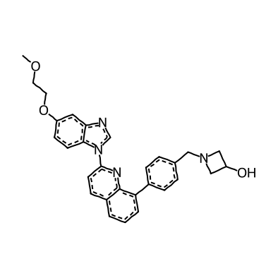 COCCOc1ccc2c(c1)ncn2-c1ccc2cccc(-c3ccc(CN4CC(O)C4)cc3)c2n1